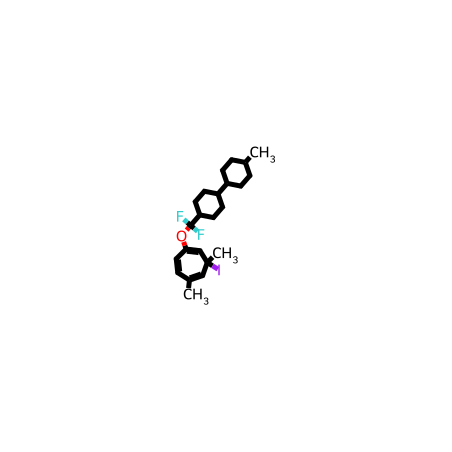 CC1=CC(C)(I)C=C(OC(F)(F)C2CCC(C3CCC(C)CC3)CC2)C=C1